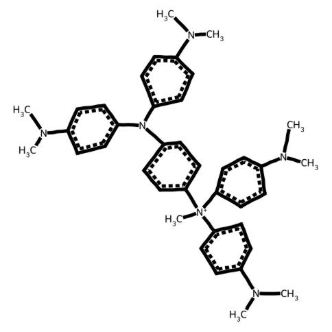 CN(C)c1ccc(N(c2ccc(N(C)C)cc2)c2ccc([N+](C)(c3ccc(N(C)C)cc3)c3ccc(N(C)C)cc3)cc2)cc1